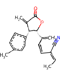 C=C(/C=C\C(C#N)=C/C)[C@H]1OC(=O)C(=C)[C@H]1c1ccc(C)cc1